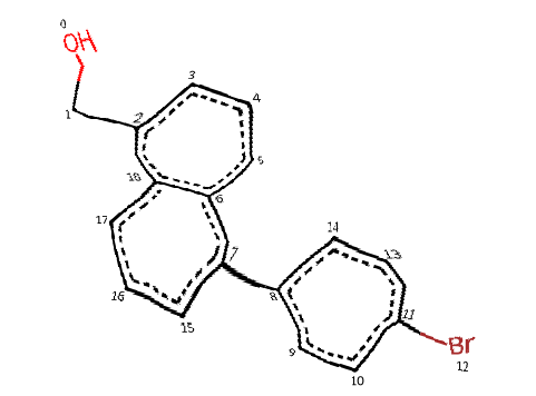 OCc1cccc2c(-c3ccc(Br)cc3)cccc12